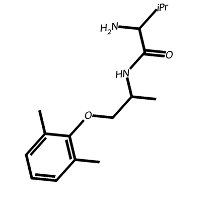 Cc1cccc(C)c1OCC(C)NC(=O)C(N)C(C)C